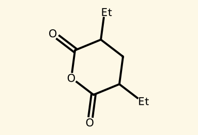 CCC1CC(CC)C(=O)OC1=O